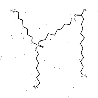 CCCCCCCCCCCCCC(=O)O.CCCCCCCCOP(=O)(OCCCCCCCC)OCCCCCCCC